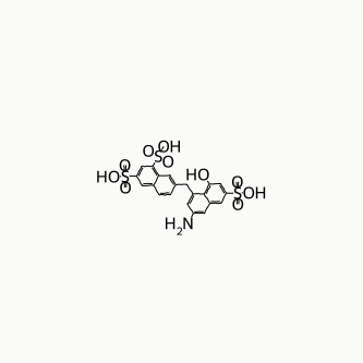 Nc1cc(Cc2ccc3cc(S(=O)(=O)O)cc(S(=O)(=O)O)c3c2)c2c(O)cc(S(=O)(=O)O)cc2c1